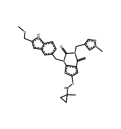 C=C1c2cc(SNC3(C)CC3)sc2N(Cc2ccc3[nH]c(COC)cc3c2)C(=O)N1Cc1cnn(C)c1